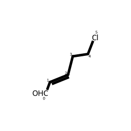 O=C/C=C/CCCl